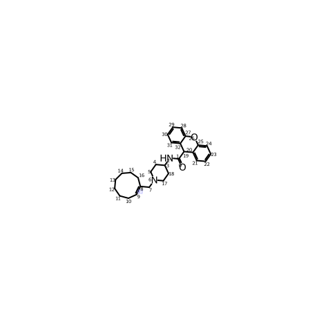 O=C(NC1CCN(C/C2=C/CCCCCCC2)CC1)C1c2ccccc2Oc2ccccc21